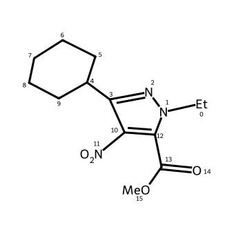 CCn1nc(C2CCCCC2)c([N+](=O)[O-])c1C(=O)OC